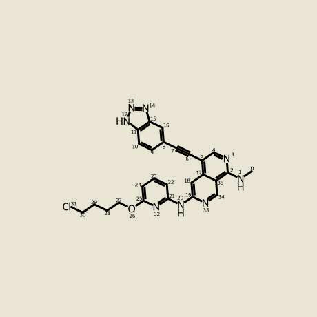 CNc1ncc(C#Cc2ccc3[nH]nnc3c2)c2cc(Nc3cccc(OCCCCCl)n3)ncc12